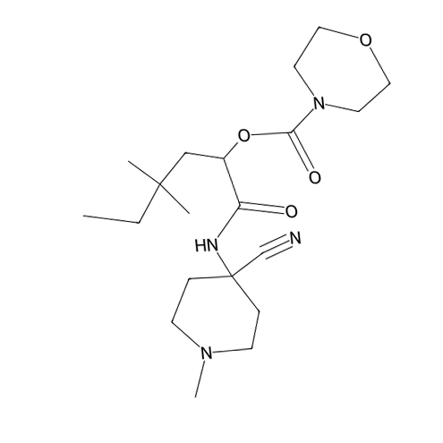 CCC(C)(C)CC(OC(=O)N1CCOCC1)C(=O)NC1(C#N)CCN(C)CC1